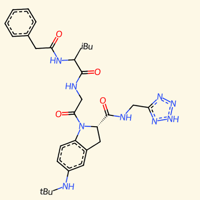 CCC(C)C(NC(=O)Cc1ccccc1)C(=O)NCC(=O)N1c2ccc(NC(C)(C)C)cc2C[C@H]1C(=O)NCc1nn[nH]n1